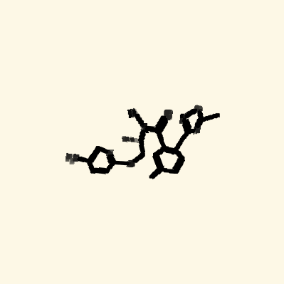 CCN(C(=O)c1cc(C)ccc1-c1noc(C)n1)[C@@H](C)COc1ccc(C(F)(F)F)cn1